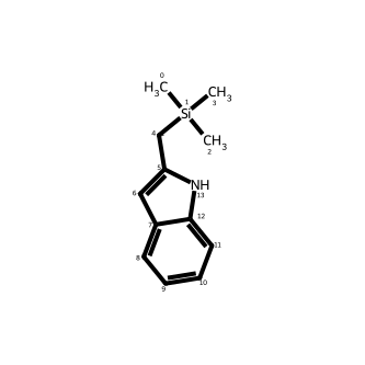 C[Si](C)(C)[CH]c1cc2ccccc2[nH]1